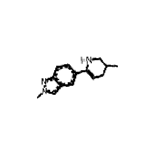 CC1CC=C(c2ccc3nn(C)cc3c2)NC1